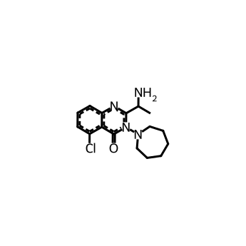 CC(N)c1nc2cccc(Cl)c2c(=O)n1N1CCCCCC1